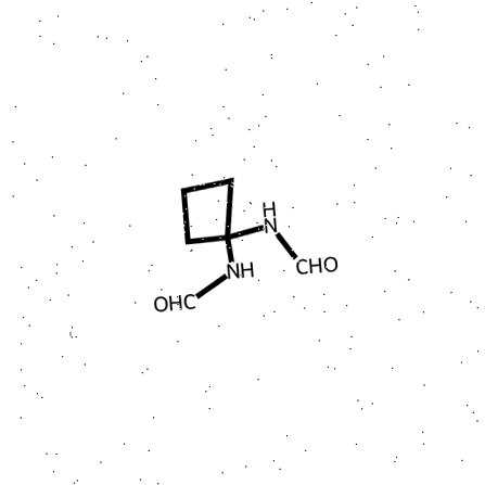 O=CNC1(NC=O)CCC1